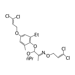 CCCOC(Oc1c(C)cc(OCC=C(Cl)Cl)cc1CC)C(C)=NOCC=C(Cl)Cl